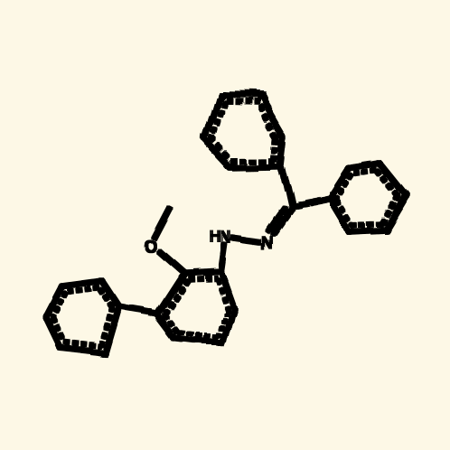 COc1c(NN=C(c2ccccc2)c2ccccc2)cccc1-c1ccccc1